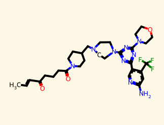 C/C=C/C(=O)CCCC(=O)N1CCC(CN2CCN(c3nc(-c4cnc(N)cc4C(F)(F)F)nc(N4CCOCC4)n3)CC2)CC1